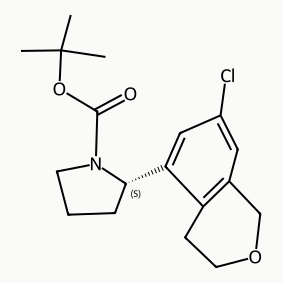 CC(C)(C)OC(=O)N1CCC[C@H]1c1cc(Cl)cc2c1CCOC2